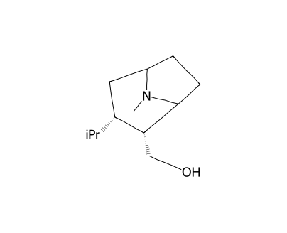 CC(C)[C@@H]1CC2CCC([C@@H]1CO)N2C